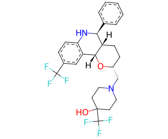 OC1(C(F)(F)F)CCN(C[C@H]2CC[C@@H]3[C@H](O2)c2cc(C(F)(F)F)ccc2N[C@H]3c2ccccc2)CC1